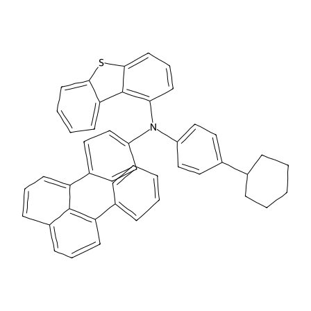 c1ccc(-c2cccc3cccc(-c4ccc(N(c5ccc(C6CCCCC6)cc5)c5cccc6sc7ccccc7c56)cc4)c23)cc1